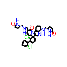 COc1nc(C2(c3cnc4c(c3)CCC[C@@H]4NC[C@H]3CCC(=O)N3)C=CC=C(c3ccccc3Cl)C2Cl)ccc1CNC[C@H]1CCC(=O)N1